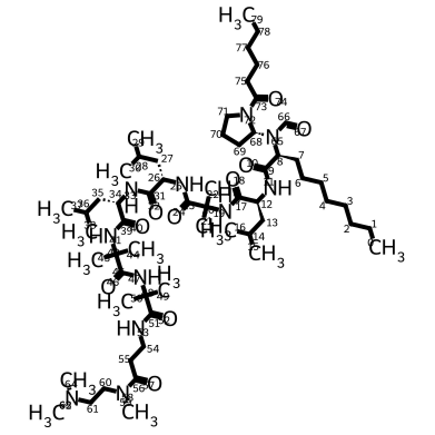 CCCCCCCC[C@@H](C(=O)N[C@@H](CC(C)C)C(=O)NC(C)(C)C(=O)N[C@@H](CC(C)C)C(=O)N[C@@H](CC(C)C)C(=O)NC(C)(C)C(=O)NC(C)(C)C(=O)NCCC(=O)N(C)CCN(C)C)N(C=O)[C@@H]1CCCN1C(=O)CCCCC